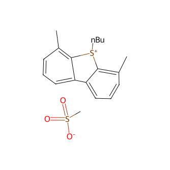 CCCC[s+]1c2c(C)cccc2c2cccc(C)c21.CS(=O)(=O)[O-]